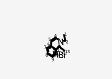 Br.CCN1C=Cc2ccccc2C1C